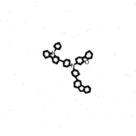 c1ccc(-n2c3ccccc3c3ccc(-c4ccc(N(c5ccc(-c6ccc7c(c6)-c6ccccc6C7)cc5)c5ccc6c(c5)oc5ccccc56)cc4)cc32)cc1